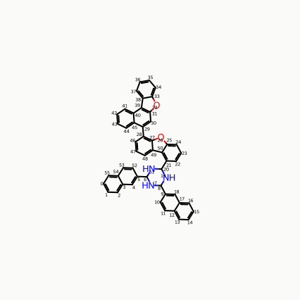 c1ccc2cc(C3NC(c4ccc5ccccc5c4)NC(c4cccc5oc6c(-c7cc8oc9ccccc9c8c8ccccc78)cccc6c45)N3)ccc2c1